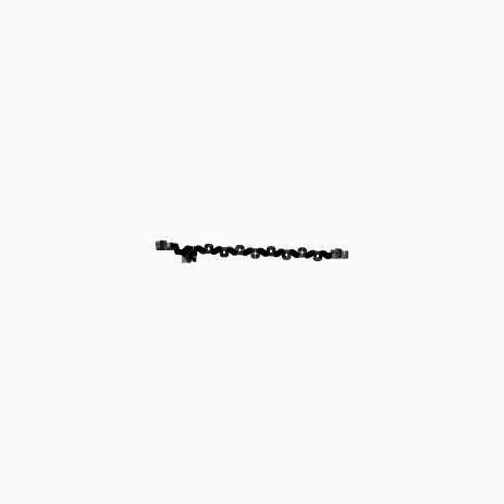 CC(C)(C)CCOCCOCCOCCOCCOCCOCCOCCOCCn1cc(CCC(C)(C)C)nn1